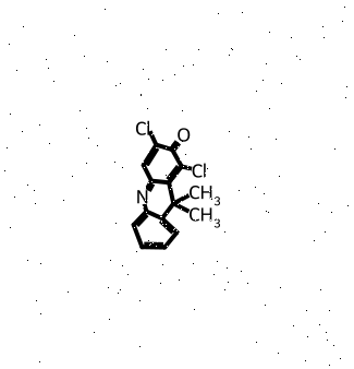 CC1(C)C2=C(Cl)C(=O)C(Cl)=CC2=Nc2ccccc21